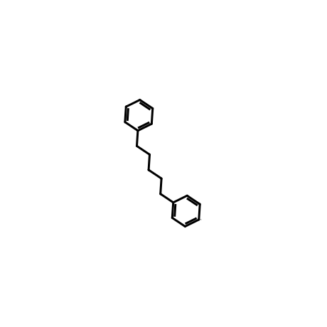 [c]1ccc(CCCCCc2ccccc2)cc1